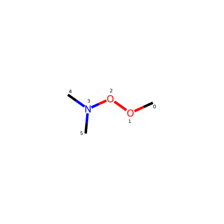 COON(C)C